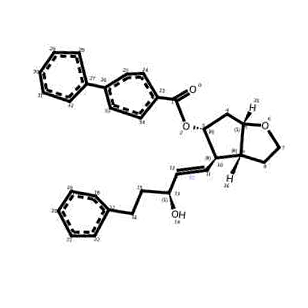 O=C(O[C@@H]1C[C@@H]2OCC[C@@H]2[C@H]1/C=C/[C@@H](O)CCc1ccccc1)c1ccc(-c2ccccc2)cc1